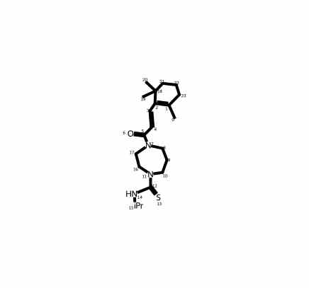 CC1=C(C=CC(=O)N2CCCN(C(=S)NC(C)C)CC2)C(C)(C)CCC1